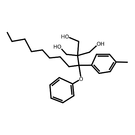 CCCCCCCCC(Oc1ccccc1)(c1ccc(C)cc1)C(CO)(CO)CO